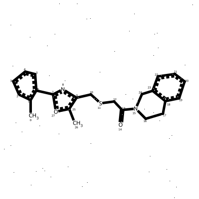 Cc1ccccc1-c1nc(CSCC(=O)N2CCc3ccccc3C2)c(C)o1